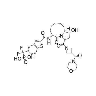 O=C(N[C@H]1CCCCC[C@H]2[C@H](O)C[C@@H](C(=O)N3CC(C(=O)N4CCOCC4)C3)N2C1=O)c1cc2cc(C(F)(F)P(=O)(O)O)ccc2s1